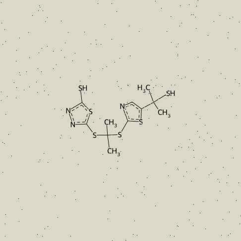 CC(C)(Sc1ncc(C(C)(C)S)s1)Sc1nnc(S)s1